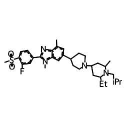 CCC1CC(N2CCC(c3cc(C)c4nc(-c5ccc(S(C)(=O)=O)c(F)c5)n(C)c4c3)CC2)CC(C)N1CC(C)C